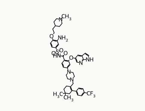 CN1CCC(CCOc2ccc(S(=O)(=O)NC(=O)c3ccc(N4CCN(CC5=C(c6ccc(C(F)(F)F)cc6)CC(C)(C)CC5)CC4)cc3Oc3cnc4[nH]ccc4c3)cc2N)CC1